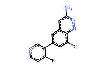 CCc1ccncc1-c1cc(Cl)c2nnc(N)cc2c1